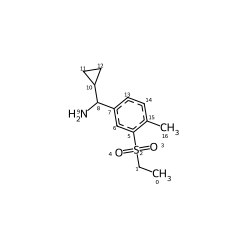 CCS(=O)(=O)c1cc(C(N)C2CC2)ccc1C